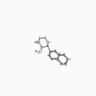 CC1NCCOC1c1ccc2ccccc2c1